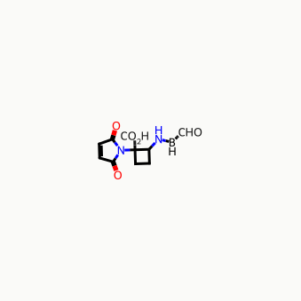 O=CBNC1CCC1(C(=O)O)N1C(=O)C=CC1=O